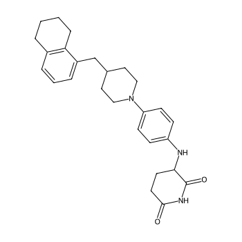 O=C1CCC(Nc2ccc(N3CCC(Cc4cccc5c4CCCC5)CC3)cc2)C(=O)N1